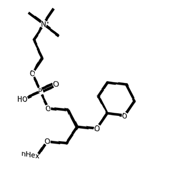 CCCCCCOCC(COP(=O)(O)OCC[N+](C)(C)C)OC1CCCCO1